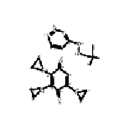 CC(C)(C)OOc1ccnnn1.O=C1C=C(N2CC2)C(=O)C(N2CC2)=C1N1CC1